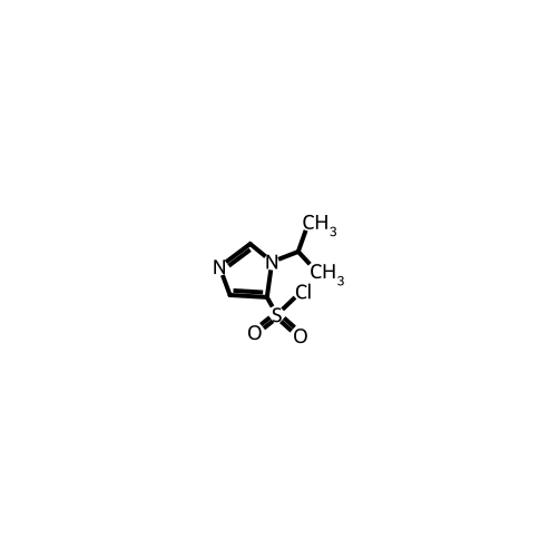 CC(C)n1cncc1S(=O)(=O)Cl